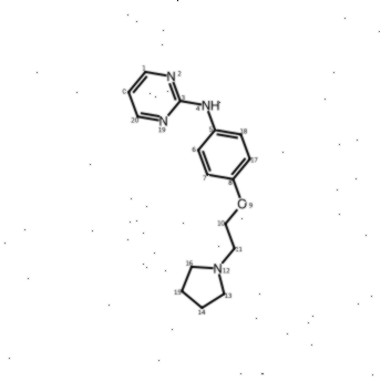 c1cnc(Nc2ccc(OCCN3CCCC3)cc2)nc1